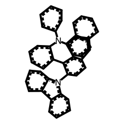 c1ccc(N(c2ccccc2-c2c(-n3c4ccccc4c4ccccc43)ccc3ccccc23)c2cccc3ccccc23)cc1